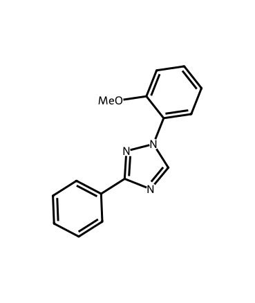 COc1ccccc1-n1cnc(-c2ccccc2)n1